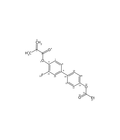 C=C(C)C(=O)Oc1ccc(-c2ccc(OC(=O)CC)cc2)cc1F